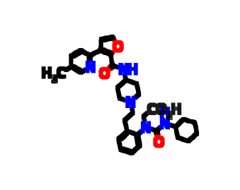 Cc1ccc(-c2ccoc2C(=O)NC2CCN(CCc3ccccc3N(CC(=O)O)C(=O)NC3CCCCC3)CC2)nc1